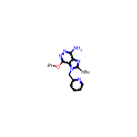 CCCCc1nc2c(N)nnc(OC(C)C)c2n1Cc1ccccn1